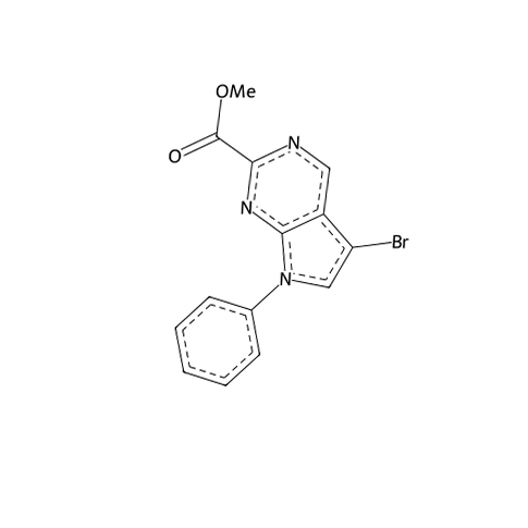 COC(=O)c1ncc2c(Br)cn(-c3ccccc3)c2n1